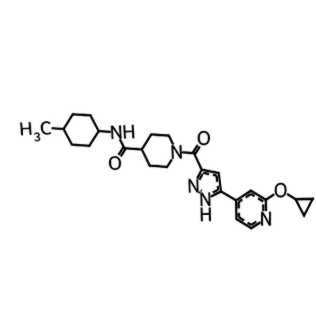 CC1CCC(NC(=O)C2CCN(C(=O)c3cc(-c4ccnc(OC5CC5)c4)[nH]n3)CC2)CC1